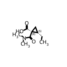 CC[C@H]1C[C@]1(C(=O)O)C(=O)N(C)C